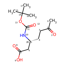 CC(=O)CC[C@H](CC(=O)O)NC(=O)OC(C)(C)C